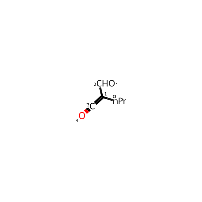 CCCC([C]=O)=C=O